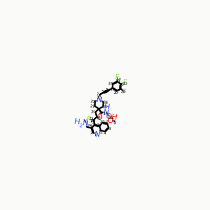 COc1ccc2ncc(CN)c([C@H](F)CCC3(C(=O)NO)CCN(CC#Cc4cc(F)c(F)c(F)c4)CC3)c2c1